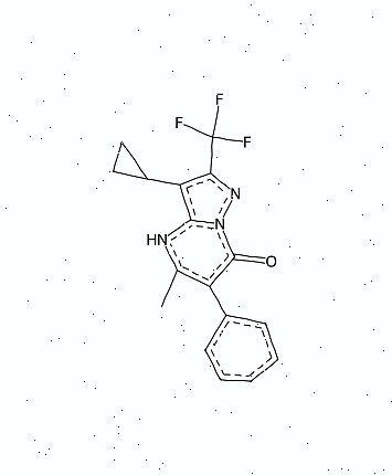 Cc1[nH]c2c(C3CC3)c(C(F)(F)F)nn2c(=O)c1-c1ccccc1